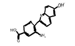 Nc1cc(C(=O)O)ccc1-c1ccc2cc(O)ccc2n1